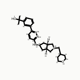 CC(C)(O)c1cccc(-c2ccc(N[C@H]3C[C@@H]4CN(CC5CCOCC5)C[C@@H]4C3)nn2)c1